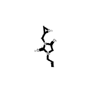 C=CCN1CC(=O)N(CC2CO2)C1=O